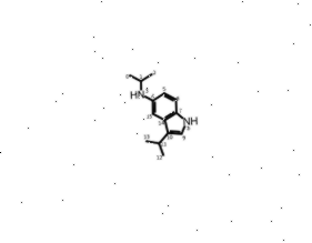 CC(C)Nc1ccc2[nH]cc(C(C)C)c2c1